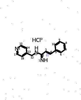 Cl.N=C(/C=C/c1ccccc1)NCc1ccncc1